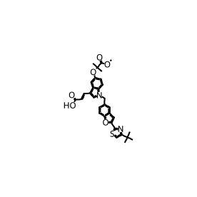 COC(=O)C(C)(C)Oc1ccc2c(c1)c(C=CC(=O)O)cn2Cc1ccc2oc(-c3nc(C(C)(C)C)cs3)cc2c1